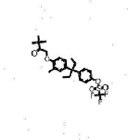 CCC(CC)(c1ccc(OS(=O)(=O)C(F)(F)F)cc1)c1ccc(OCC(=O)C(C)(C)C)c(C)c1